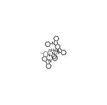 CCCCCCC1CC(C)c2ccc3c4ccccc4n(-c4ccccc4)c3c2N1c1cccc(-n2c3ccccc3c3cc4c5ccccc5n(-c5ccccc5)c4cc32)n1